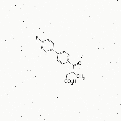 CC(CC(=O)O)C(=O)c1ccc(-c2ccc(F)cc2)cc1